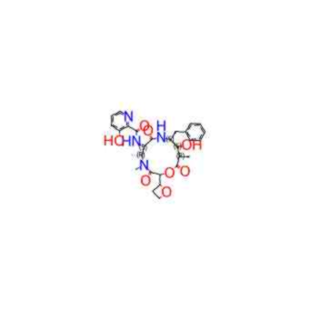 C[C@@H]1[C@H](NC(=O)c2ncccc2O)C(=O)N[C@@H](Cc2ccccc2)[C@@H](O)[C@@H](C)C(=O)OC(C2CCO2)C(=O)N1C